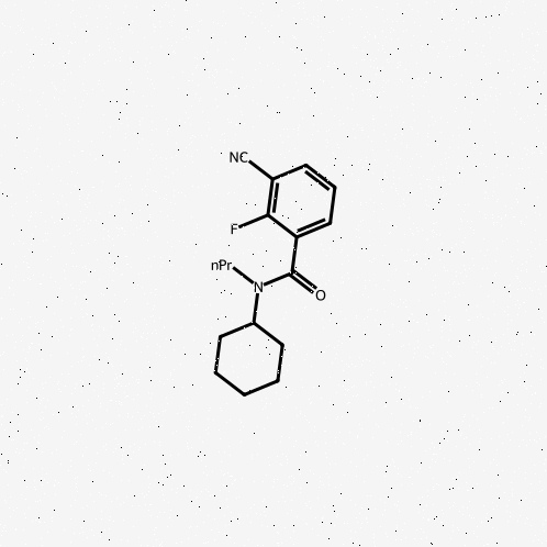 CCCN(C(=O)c1cccc(C#N)c1F)C1CCCCC1